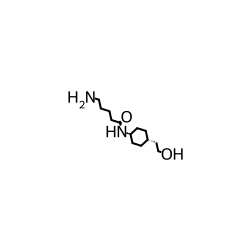 NCCCCC(=O)N[C@H]1CC[C@H](CCO)CC1